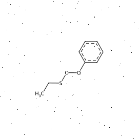 CCSOOc1ccccc1